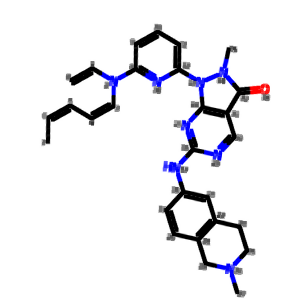 C=CN(/C=C\C=C/C)c1cccc(-n2c3nc(Nc4ccc5c(c4)CCN(C)C5)ncc3c(=O)n2C)n1